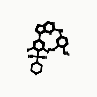 COc1cc(Nc2ncc3ccn(-c4cc(F)c(C(O)(O)N5CCSCC5)c(F)c4)c3n2)ccc1C